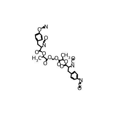 CC(OC(=O)C(Cc1ccc(N=C=O)cc1)N=C=O)C(=O)OCOC(=O)C(C)OC(=O)C(Cc1ccc(OC#N)cc1)N=C=O